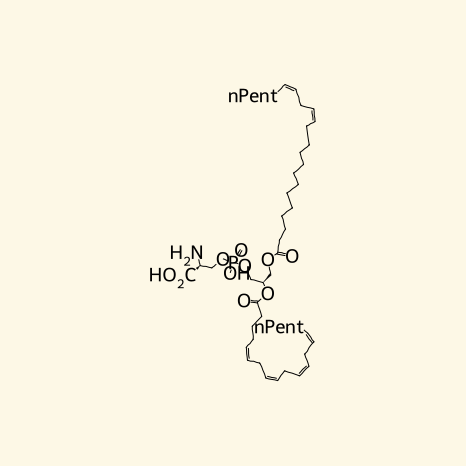 CCCCC/C=C\C/C=C\C/C=C\C/C=C\CCCC(=O)O[C@H](COC(=O)CCCCCCCCCCC/C=C\C/C=C\CCCCC)COP(=O)(O)OC[C@H](N)C(=O)O